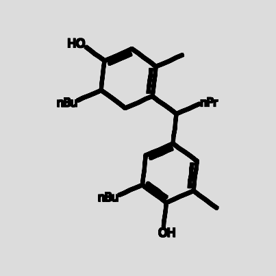 CCCCc1cc(C(CCC)C2=C(C)C=C(O)C(CCCC)C2)cc(C)c1O